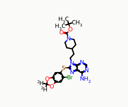 [2H]C1([2H])Oc2cc(Br)c(Sc3nc4c(N)ncnc4n3CCC3CCN(C(=O)OC(C)(C)C)CC3)cc2O1